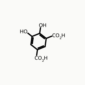 O=C(O)c1cc(O)c(O)c(C(=O)O)c1